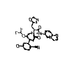 N#Cc1ccc(Cl)cc1-c1cc(=O)n(C(Cc2cnco2)C(=O)Nc2ccc3nccn3c2)cc1OC(F)F